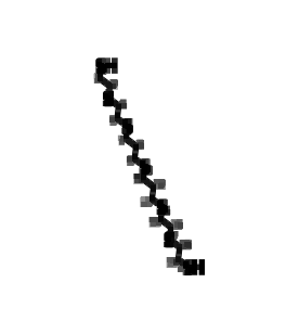 SCCSCCSCCCSCCCSCCSCCS